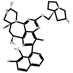 CC[C@@H]1CN2c3nc(OC[C@@]45CCCN4C[C@H](F)C5)nc4c(F)c(-c5cccc6ccc(F)c(C)c56)nc(c34)[C@@H](C)C[C@@H]2CN1